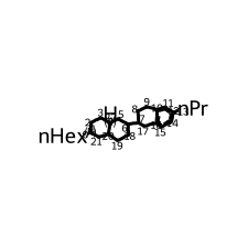 CCCCCC[C@@H]1CC[C@@H]2CC(C3CCc4cc(CCC)ccc4C3)CCC2C1